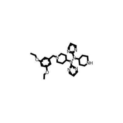 CCOc1cc(CN2CCC(N(c3ncccn3)N(c3ncccn3)C3CCNCC3)CC2)cc(OCC)c1